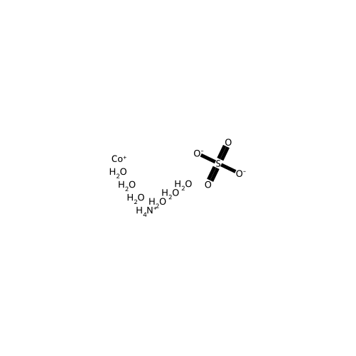 O.O.O.O.O.O.O=S(=O)([O-])[O-].[Co+].[NH4+]